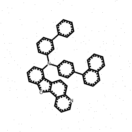 c1ccc(-c2cccc(N(c3ccc(-c4cccc5ccccc45)cc3)c3cccc4oc5c6cccnc6ccc5c34)c2)cc1